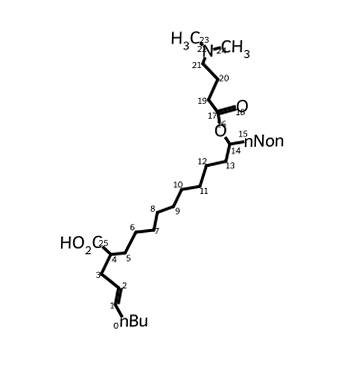 CCCCC=CCC(CCCCCCCCCC(CCCCCCCCC)OC(=O)CCCN(C)C)C(=O)O